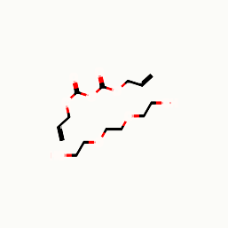 C=CCOC(=O)OC(=O)OCC=C.OCCOCCOCCO